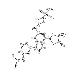 CS(=O)(=O)N1CC(Nc2nc(N3C[C@H](O)[C@@H](F)C3)c3cnn(-c4cccc(OC(F)F)c4)c3n2)C1